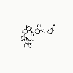 CCC(c1nc(-c2cc3c(Nc4ccc(OCc5cccc(F)c5)c(Cl)c4)ncnc3cn2)cs1)N(CC)S(=O)(=O)CC